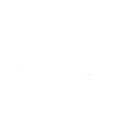 C=C1OB(c2ccc(C(=O)NCC)c(C)c2)OC1(C)C